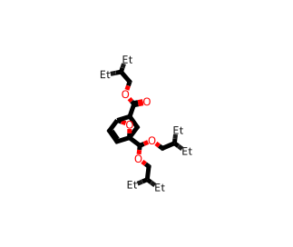 CCC(CC)COC(=O)C1CC2(C(OCC(CC)CC)OCC(CC)CC)C=CC1O2